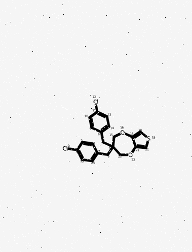 Clc1ccc(CC2(Cc3ccc(Cl)cc3)COc3cscc3OC2)cc1